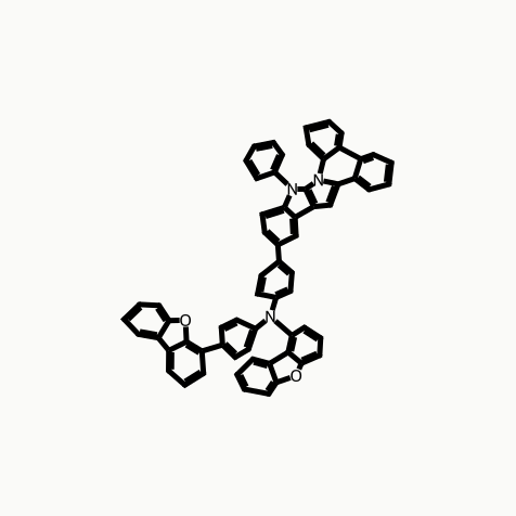 c1ccc(-n2c3ccc(-c4ccc(N(c5ccc(-c6cccc7c6oc6ccccc67)cc5)c5cccc6oc7ccccc7c56)cc4)cc3c3cc4c5ccccc5c5ccccc5n4c32)cc1